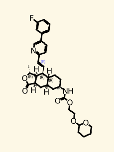 C[C@H]1OC(=O)[C@@H]2C[C@@H]3C[C@H](NC(=O)OCCOC4CCCCO4)CC[C@H]3[C@H](/C=C/c3ccc(-c4cccc(F)c4)cn3)[C@H]12